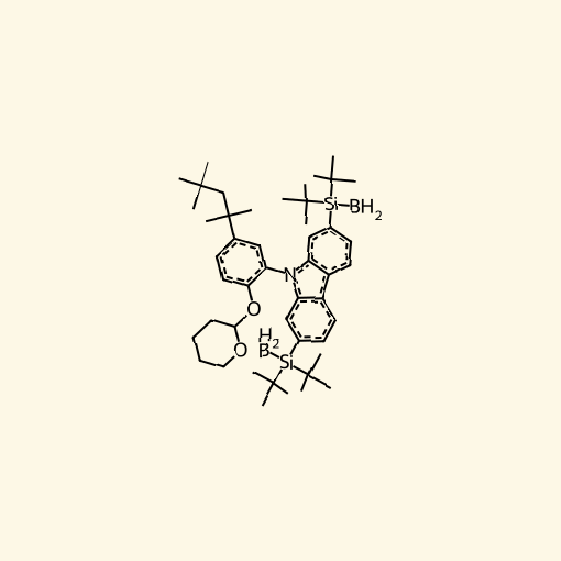 B[Si](c1ccc2c3ccc([Si](B)(C(C)(C)C)C(C)(C)C)cc3n(-c3cc(C(C)(C)CC(C)(C)C)ccc3OC3CCCCO3)c2c1)(C(C)(C)C)C(C)(C)C